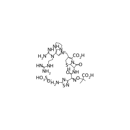 CC(C)(O/N=C(\C(=O)N[C@@H]1C(=O)N2C(C(=O)O)=C(C[n+]3cc(N(CCNC(=N)N)C(=N)N)c4n3CCCN4)CS[C@H]12)c1nsc(N)n1)C(=O)O.O=S(=O)([O-])O